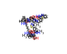 Cc1ncsc1-c1ccc([C@H](C)NC(=O)[C@@H]2C[C@@H](O)CN2C(=O)[C@@H](NC(=O)CCCCCCNC(=O)C23C[C@H]4C[C@@H](CC(Cn5ncc(-c6ccc(N7CCc8cccc(C(=O)Nc9nc%10ccccc%10s9)c8C7)nc6C(=O)O)c5C)(C4)C2)C3)C(C)(C)C)cc1